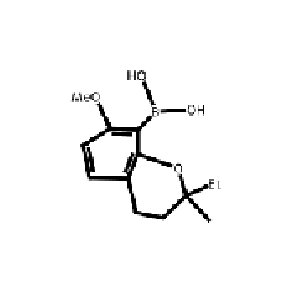 CCC1(C)CCc2ccc(OC)c(B(O)O)c2O1